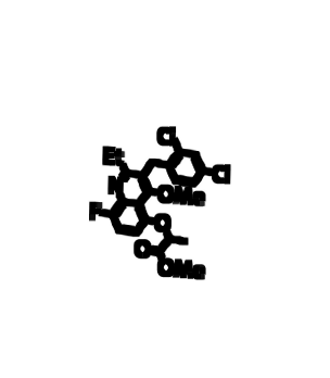 CCc1nc2c(F)ccc(OC(C)C(=O)OC)c2c(OC)c1Cc1ccc(Cl)cc1Cl